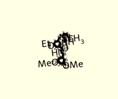 CCOc1cc(Cn2ccn(C)c2=N)cc(C(=O)NCc2cc(OC)cc(OC)c2)c1